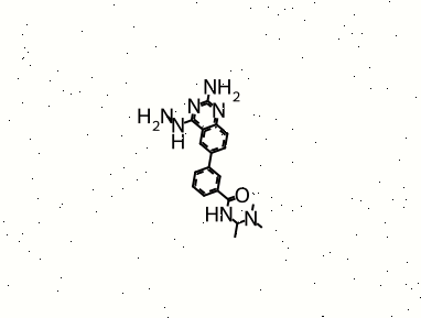 CC(NC(=O)c1cccc(-c2ccc3nc(N)nc(NN)c3c2)c1)N(C)C